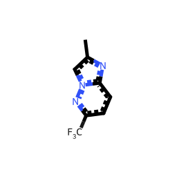 Cc1cn2nc(C(F)(F)F)ccc2n1